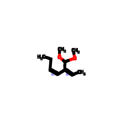 C/C=C(/C=C\CC)C(OC)OC